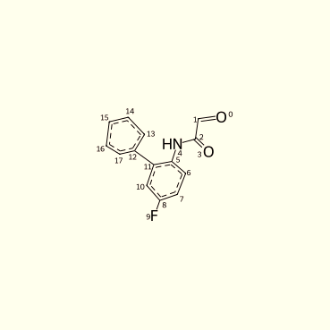 O=CC(=O)Nc1ccc(F)cc1-c1ccccc1